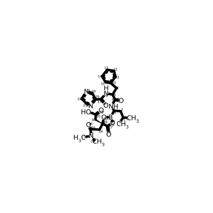 CC(C)CC(NC(=O)C(Cc1ccccc1)NC(=O)c1cnccn1)B1OC(=O)[C@](CC(=O)O)(CC(=O)N(C)C)O1